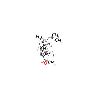 CC[C@@H](C)CC[C@@H](C)[C@H]1CC[C@H]2[C@@H]3CC=C4C[C@@](C)(O)CC[C@]4(C)[C@H]3CC[C@]12C